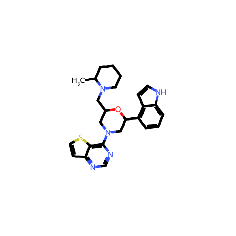 CC1CCCCN1CC1CN(c2ncnc3ccsc23)CC(c2cccc3[nH]ccc23)O1